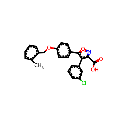 Cc1ccccc1COc1ccc(-c2onc(C(=O)O)c2-c2cccc(Cl)c2)cc1